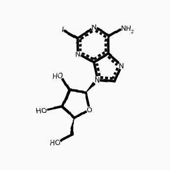 Nc1nc(I)nc2c1ncn2[C@H]1O[C@@H](CO)C(O)C1O